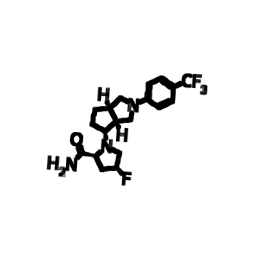 NC(=O)[C@@H]1C[C@H](F)CN1[C@H]1CC[C@@H]2CN(c3ccc(C(F)(F)F)cc3)C[C@@H]21